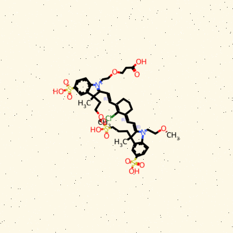 COCCN1/C(=C/C=C2\CCCC(/C=C/C3=[N+](CCOCCC(=O)O)c4ccc(S(=O)(=O)O)cc4C3(C)CCOC)=C2Cl)C(C)(CCCS(=O)(=O)O)c2cc(S(=O)(=O)O)ccc21